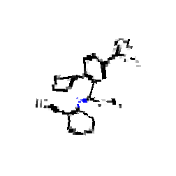 C#CC1=C(/N=C(\C)c2cc(C(=C)C)ccc2C2CCC2)CCCC1